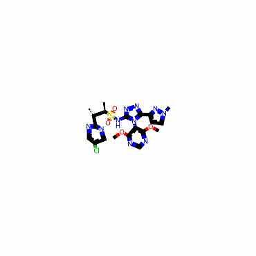 COc1ncnc(OC)c1-n1c(NS(=O)(=O)[C@H](C)[C@@H](C)c2ncc(Cl)cn2)nnc1-c1ccn(C)n1